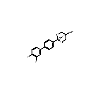 CCCC12COC(c3ccc(-c4ccc(F)c(F)c4)cc3)(OC1)OC2